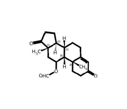 C[C@]12CCC(=O)C=C1CC[C@@H]1[C@H]2C(OC=O)C[C@]2(C)C(=O)CC[C@@H]12